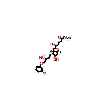 COC(=O)CCCC(Br)C1C[C@@H]2[C@@H](/C=C/[C@@H](O)COc3cccc(Cl)c3)[C@H](O)C[C@H]2O1